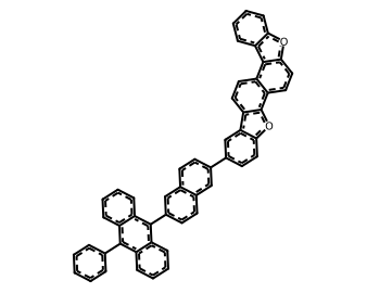 c1ccc(-c2c3ccccc3c(-c3ccc4cc(-c5ccc6oc7c(ccc8c7ccc7oc9ccccc9c78)c6c5)ccc4c3)c3ccccc23)cc1